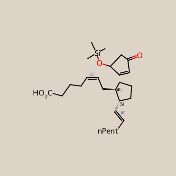 CCCCC/C=C/[C@H]1CCC[C@@H]1C/C=C\CCCC(=O)O.C[Si](C)(C)OC1C=CC(=O)C1